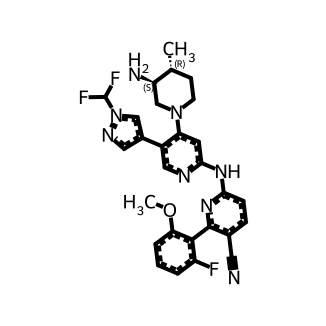 COc1cccc(F)c1-c1nc(Nc2cc(N3CC[C@@H](C)[C@H](N)C3)c(-c3cnn(C(F)F)c3)cn2)ccc1C#N